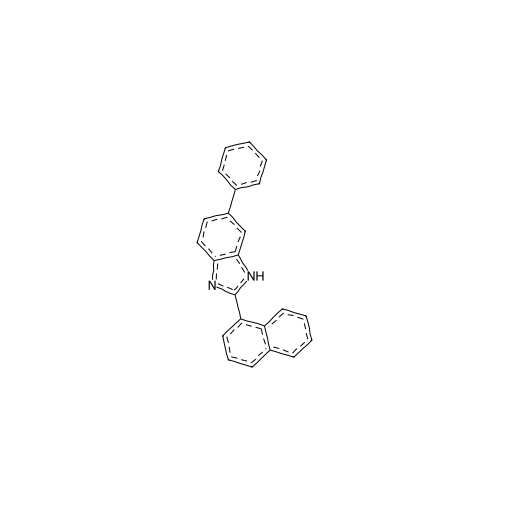 c1ccc(-c2ccc3nc(-c4cccc5ccccc45)[nH]c3c2)cc1